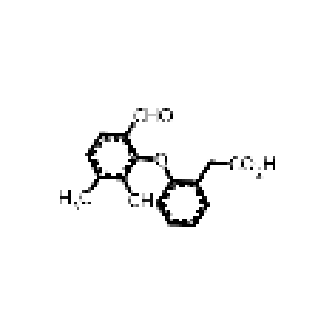 Cc1ccc(C=O)c(Oc2ccccc2CC(=O)O)c1C